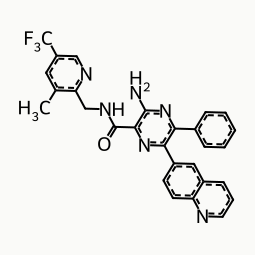 Cc1cc(C(F)(F)F)cnc1CNC(=O)c1nc(-c2ccc3ncccc3c2)c(-c2ccccc2)nc1N